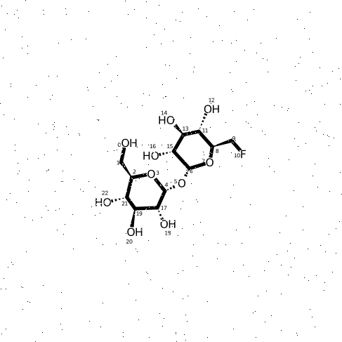 OC[C@H]1O[C@H](O[C@H]2O[C@H](CF)[C@@H](O)[C@H](O)[C@H]2O)[C@H](O)[C@@H](O)[C@@H]1O